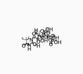 Cc1cn([C@@H]2O[C@@H]3C(OP(=O)(O)OP(=O)(O)OP(=O)(O)O)[C@]3(CO)[C@H]2O)c(=O)[nH]c1=O